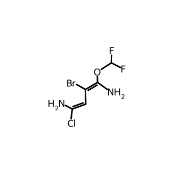 N/C(OC(F)F)=C(Br)\C=C(/N)Cl